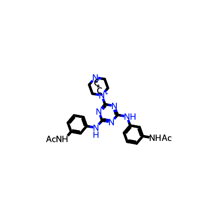 CC(=O)Nc1cccc(Nc2nc(Nc3cccc(NC(C)=O)c3)nc([N+]34CCN(CC3)CC4)n2)c1